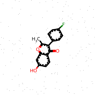 Cc1oc2cc(O)ccc2c(=O)c1-c1ccc(F)cc1